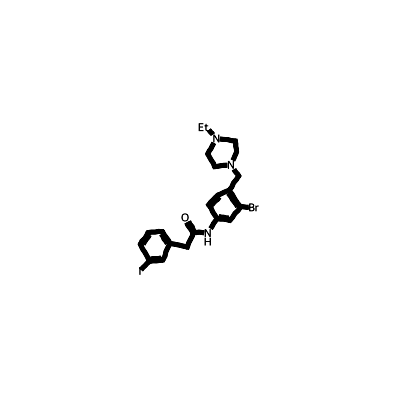 CCN1CCN(Cc2ccc(NC(=O)Cc3cccc(I)c3)cc2Br)CC1